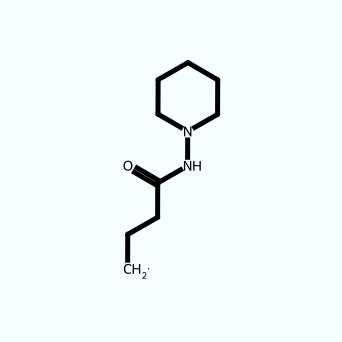 [CH2]CCC(=O)NN1CCCCC1